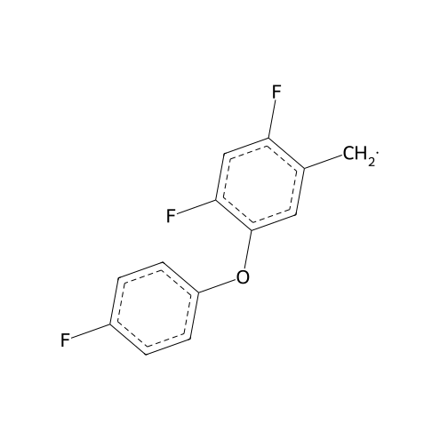 [CH2]c1cc(Oc2ccc(F)cc2)c(F)cc1F